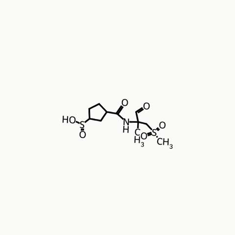 CC(C=O)(CS(C)(=O)=O)NC(=O)C1CCC(S(=O)O)C1